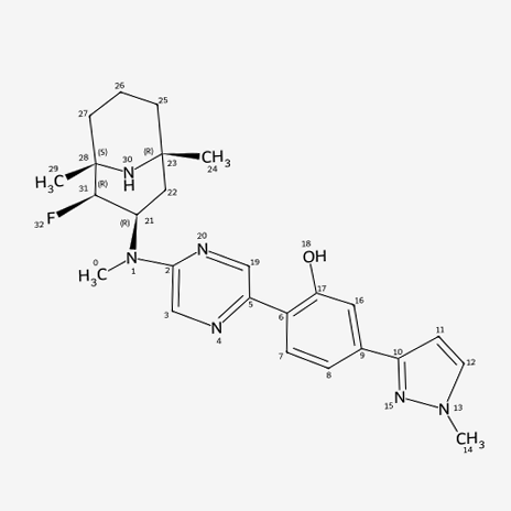 CN(c1cnc(-c2ccc(-c3ccn(C)n3)cc2O)cn1)[C@@H]1C[C@@]2(C)CCC[C@](C)(N2)[C@@H]1F